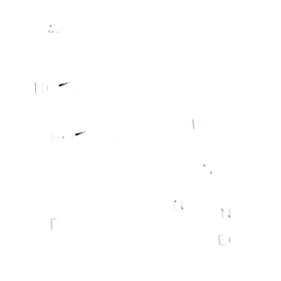 CCN(C)c1nc2c(c(C(C)C)n1)C(C)[C@@H]([C@@H](O)C[C@@H](O)CC(C)=O)c1cc(F)ccc1-2